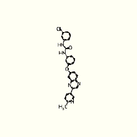 Cc1ccc(-c2cnc3ccc(Oc4cccc(NC(=O)Nc5cccc(Cl)c5)c4)cc3n2)cn1